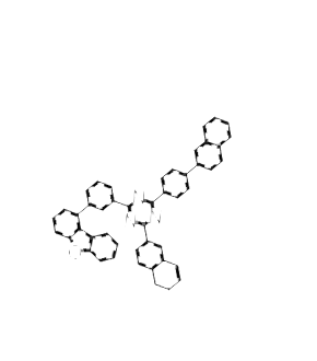 C1=Cc2cc(-c3nc(-c4ccc(-c5ccc6ccccc6c5)cc4)nc(-c4cccc(-c5cccc6oc7ccccc7c56)c4)n3)ccc2CC1